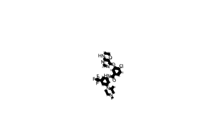 CC1CN(C)CCN1c1cc(NC(=O)c2ccc(Cl)c(Oc3ncnc4c3OCCN4)c2)cc(C(F)(F)F)c1